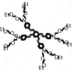 CCOCCOCCN(CCOCCOCC)c1ccc(/C=C/c2cc(/C=C/c3ccc(N(CCOCCOCC)CCOCCOCC)cc3)c(/C=C/c3ccc(N(CCOCCOCC)CCOCCOCC)cc3)cc2/C=C/c2ccc(N(CCOCCOCC)CCOCCOCC)cc2)cc1